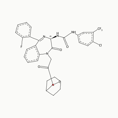 O=C(Nc1ccc(Cl)c(C(F)(F)F)c1)N[C@@H]1N=C(c2ccccc2F)c2ccccc2N(CC(=O)N2CC3CCC(CC3)C2)C1=O